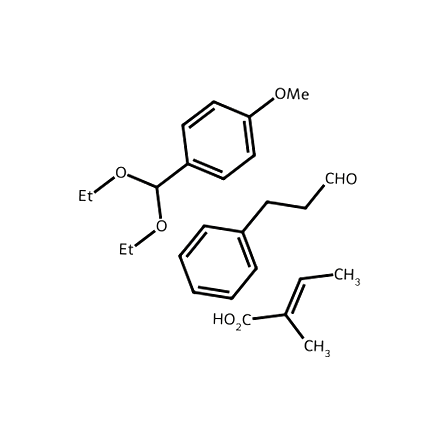 CC=C(C)C(=O)O.CCOC(OCC)c1ccc(OC)cc1.O=CCCc1ccccc1